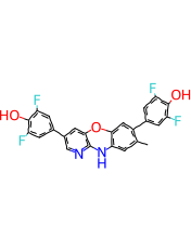 Cc1cc2c(cc1-c1cc(F)c(O)c(F)c1)Oc1cc(-c3cc(F)c(O)c(F)c3)cnc1N2